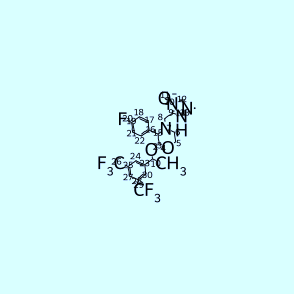 CC(OC1OCCN(CC2=[N+]([O-])C[N]N2)C1c1ccc(F)cc1)c1cc(C(F)(F)F)cc(C(F)(F)F)c1